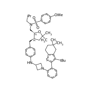 COc1ccc(S(=O)(=O)N(CC(C)C)C[C@H]2OC(C)(C)C[C@H]2Cc2ccc(NC3CN(c4ccccc4-c4sc5c(c4C(C)(C)C)CC(C)(C)CC5)C3)cc2)cc1